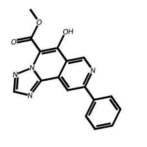 COC(=O)c1c(O)c2cnc(-c3ccccc3)cc2c2ncnn12